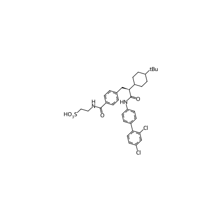 CC(C)(C)C1CCC([C@H](Cc2ccc(C(=O)NCCS(=O)(=O)O)cc2)C(=O)Nc2ccc(-c3ccc(Cl)cc3Cl)cc2)CC1